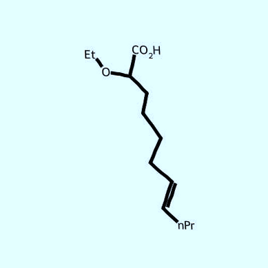 CCCC=CCCCCC(OCC)C(=O)O